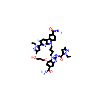 CCn1nc(C)cc1C(=O)Nc1nc2cc(C(N)=O)cc(OCCCO)c2n1CC=CCn1c2ccc(C(N)=O)cc2c2cc(F)c(-c3cc(C)nn3CC)nc21